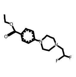 CCOC(=O)c1ccc(N2CCN(CC(F)F)CC2)cc1